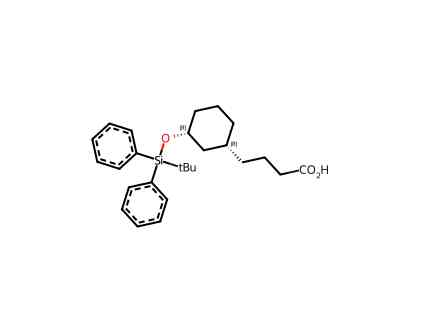 CC(C)(C)[Si](O[C@@H]1CCC[C@H](CCCC(=O)O)C1)(c1ccccc1)c1ccccc1